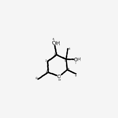 CC1CC(O)C(C)(O)C(C)O1